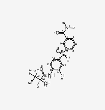 CN(C)C(=O)c1cccc(S(=O)(=O)c2ccc(NC(=O)[C@@](C)(O)C(F)(F)F)c(Cl)c2)c1